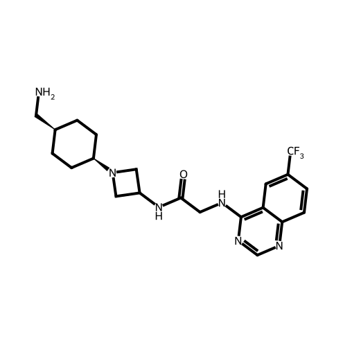 NC[C@H]1CC[C@@H](N2CC(NC(=O)CNc3ncnc4ccc(C(F)(F)F)cc34)C2)CC1